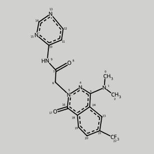 CN(C)c1nn(CC(=O)Nc2ccncn2)c(=O)c2ccc(C(F)(F)F)cc12